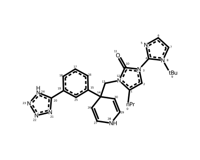 CCCc1cn(-c2nccn2C(C)(C)C)c(=O)n1CC1(c2cccc(-c3nnn[nH]3)c2)C=CNC=C1